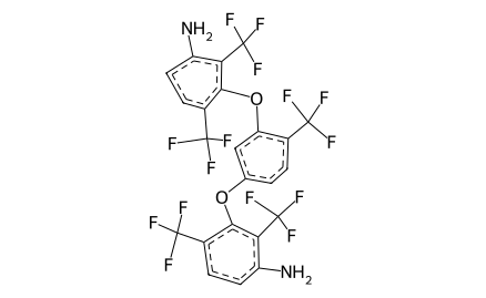 Nc1ccc(C(F)(F)F)c(Oc2ccc(C(F)(F)F)c(Oc3c(C(F)(F)F)ccc(N)c3C(F)(F)F)c2)c1C(F)(F)F